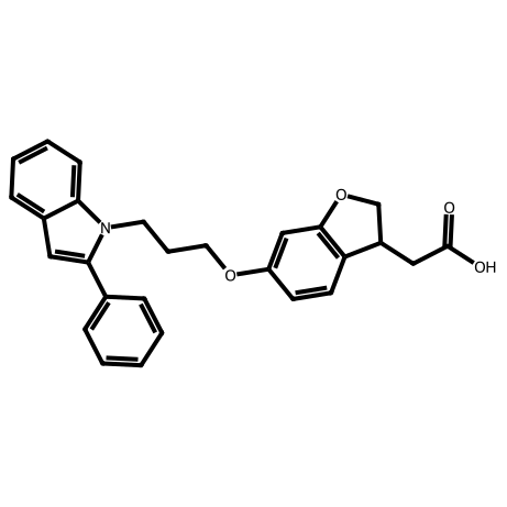 O=C(O)CC1COc2cc(OCCCn3c(-c4ccccc4)cc4ccccc43)ccc21